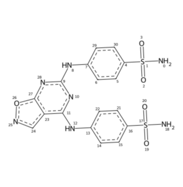 NS(=O)(=O)c1ccc(Nc2nc(Nc3ccc(S(N)(=O)=O)cc3)c3cnoc3n2)cc1